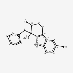 CC(=O)OC1(Cc2ccccc2)c2[nH]c3ccc(F)cc3c2CCC1Cl